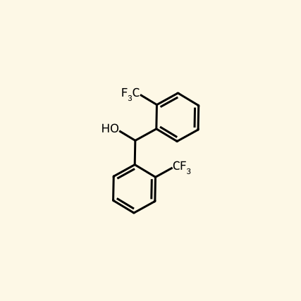 OC(c1ccccc1C(F)(F)F)c1ccccc1C(F)(F)F